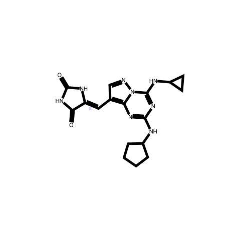 O=C1NC(=O)/C(=C/c2cnn3c(NC4CC4)nc(NC4CCCC4)nc23)N1